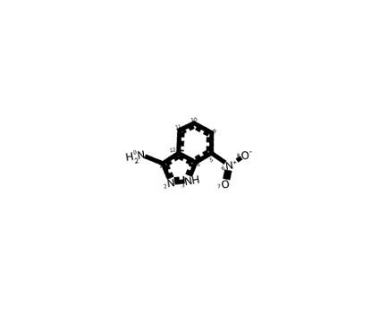 Nc1n[nH]c2c([N+](=O)[O-])cccc12